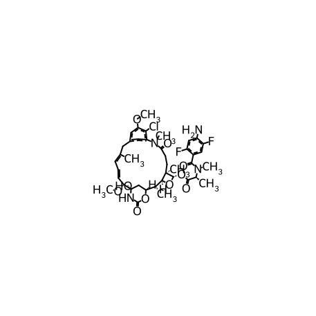 COc1cc2cc(c1Cl)N(C)C(=O)CC[C@@]1(C)[C@H](OC(=O)[C@H](C)N(C)C(=O)c3cc(F)c(N)cc3F)O[C@H]1[C@H](C)[C@@H]1C[C@@](O)(NC(=O)O1)[C@H](OC)/C=C/C=C(\C)C2